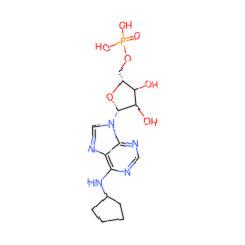 O=P(O)(O)OC[C@H]1O[C@@H](n2cnc3c(NC4CCCC4)ncnc32)C(O)C1O